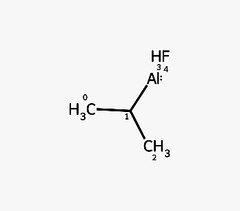 C[CH](C)[Al].F